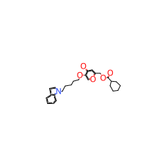 O=C(OCc1cc(=O)c(OCCCCCn2ccc3ccccc32)co1)C1CCCCC1